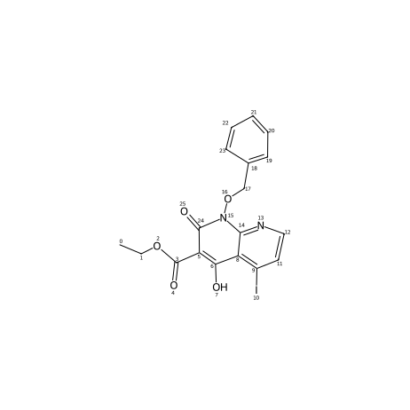 CCOC(=O)c1c(O)c2c(I)ccnc2n(OCc2ccccc2)c1=O